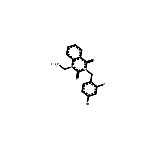 O=C(O)Cn1c(=O)n(Cc2ccc(Br)cc2F)c(=O)c2ccccc21